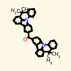 CC1(C)c2ccccc2-n2c3ccc(C(=O)c4ccc5c(c4)c4cccc6c4n5-c4ccccc4C6(C)C)cc3c3cccc1c32